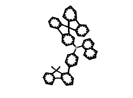 CC1(C)c2ccccc2-c2cccc(-c3ccc(N(c4ccc5c(c4)C4(c6ccccc6-c6ccccc64)c4ccccc4-5)c4cccc5ccccc45)cc3)c21